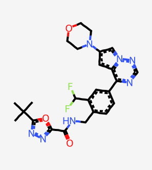 CC(C)(C)c1nnc(C(=O)NCc2ccc(-c3ncnn4cc(N5CCOCC5)cc34)cc2C(F)F)o1